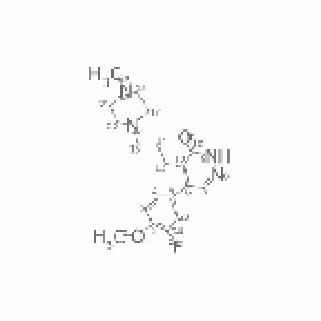 COc1ccc(-c2cn[nH]c(=O)c2CCCN2CCN(C)CC2)cc1F